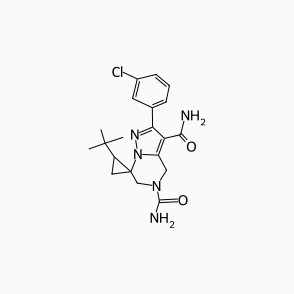 CC(C)(C)C1CC12CN(C(N)=O)Cc1c(C(N)=O)c(-c3cccc(Cl)c3)nn12